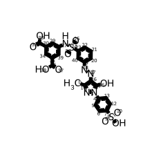 Cc1nn(-c2ccc(S(=O)(=O)O)cc2)c(O)c1/N=N/c1cccc(S(=O)(=O)Nc2cc(C(=O)O)cc(C(=O)O)c2)c1